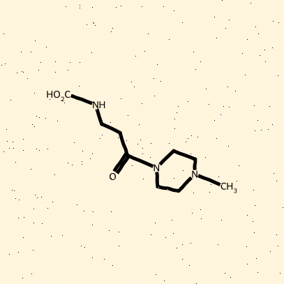 CN1CCN(C(=O)CCNC(=O)O)CC1